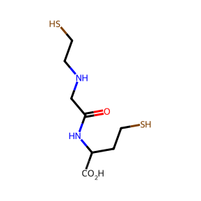 O=C(CNCCS)NC(CCS)C(=O)O